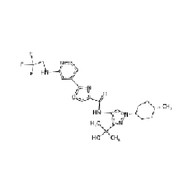 CC(C)(O)c1nn([C@H]2CC[C@@H](C)CC2)cc1NC(=O)c1coc(-c2ccnc(NCC(F)(F)F)c2)n1